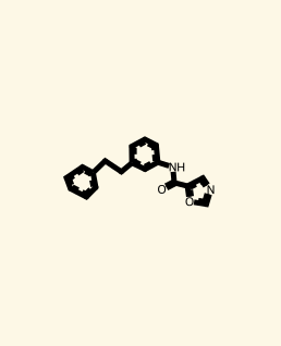 O=C(Nc1cccc(CCc2ccccc2)c1)c1cnco1